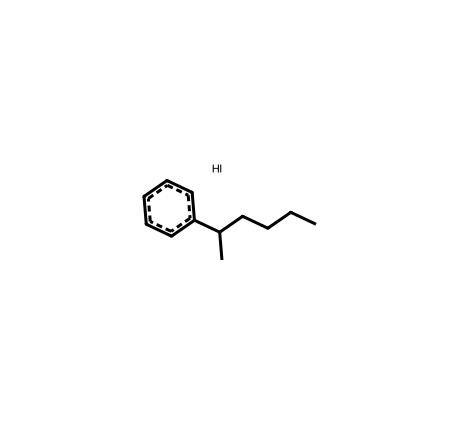 CCCCC(C)c1ccccc1.I